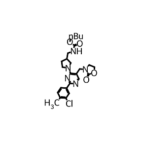 CCCCOC(=O)NCC1CCN(c2nc(-c3ccc(C)c(Cl)c3)ncc2CN2CCOC2=O)C1